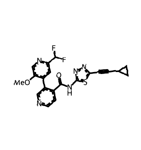 COc1cnc(C(F)F)cc1-c1cnccc1C(=O)Nc1nnc(C#CC2CC2)s1